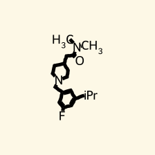 CC(C)c1cc(F)cc(CN2CCC(CC(=O)N(C)C)CC2)c1